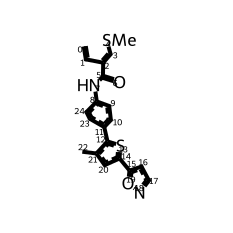 C=C/C(=C\SC)C(=O)Nc1ccc(-c2sc(-c3ccno3)cc2C)cc1